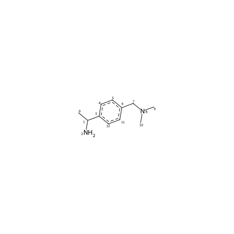 CC(N)c1ccc(CN(C)C)cc1